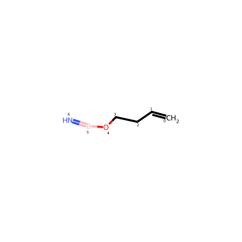 C=CCCOB=N